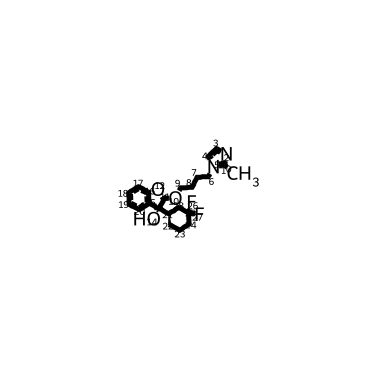 Cc1nccn1CCCCOC(=O)[C@](O)(c1ccccc1)[C@@H]1CCCC(F)(F)C1